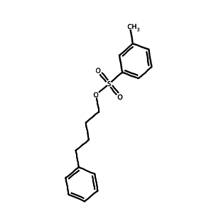 Cc1cccc(S(=O)(=O)OCCCCc2ccccc2)c1